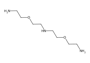 NCCOCCNCCOCCN